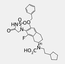 O=C1CN(c2c(OCc3ccccc3)cc3c(c2F)C[C@H](N(CCC2CCCC2)C(=O)O)CC3)S(=O)(=O)N1